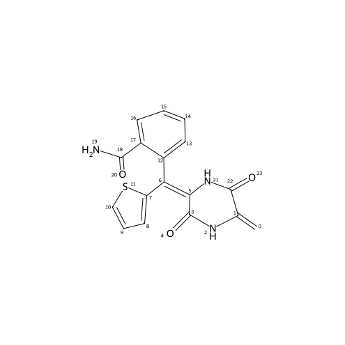 C=c1[nH]c(=O)c(=C(c2cccs2)c2ccccc2C(N)=O)[nH]c1=O